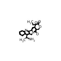 CC[C@@]1(O)C(=O)OCc2c1cc1n(c2=O)Cc2c-1nc1ccccc1c2C(C)N